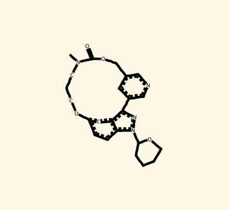 CN1CCCOc2ccc3c(c2)c(nn3C2CCCCO2)-c2cncc(c2)COC1=O